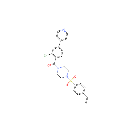 C=Cc1ccc(S(=O)(=O)N2CCN(C(=O)c3ccc(-c4ccncc4)cc3Cl)CC2)cc1